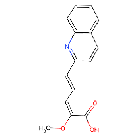 CO/C(=C/C=C/c1ccc2ccccc2n1)C(=O)O